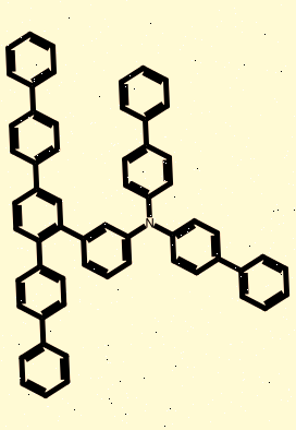 c1ccc(-c2ccc(-c3ccc(-c4ccc(-c5ccccc5)cc4)c(-c4cccc(N(c5ccc(-c6ccccc6)cc5)c5ccc(-c6ccccc6)cc5)c4)c3)cc2)cc1